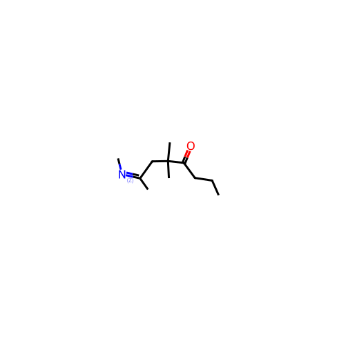 CCCC(=O)C(C)(C)C/C(C)=N\C